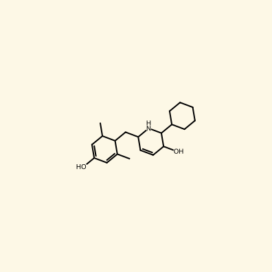 CC1=CC(O)=CC(C)C1CC1C=CC(O)C(C2CCCCC2)N1